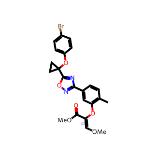 CO/C=C(\Oc1cc(-c2noc(C3(Oc4ccc(Br)cc4)CC3)n2)ccc1C)C(=O)OC